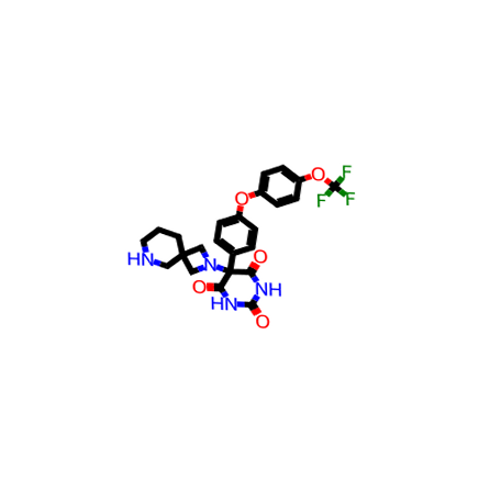 O=C1NC(=O)C(c2ccc(Oc3ccc(OC(F)(F)F)cc3)cc2)(N2CC3(CCCNC3)C2)C(=O)N1